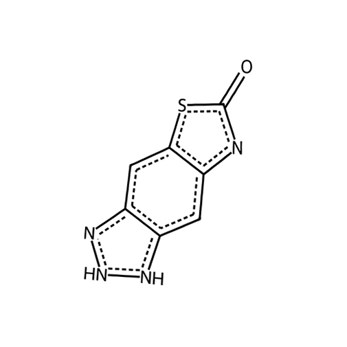 O=c1nc2cc3[nH][nH]nc3cc2s1